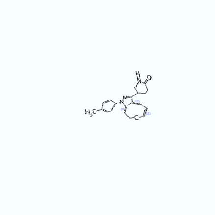 Cc1ccc(-n2nc(C3CCC(=O)NC3)c3/c2=C\CC/C=C\C=3)cc1